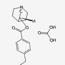 CCc1ccc(C(=O)O[C@H]2CN3CCC2CC3)cc1.O=C(O)O